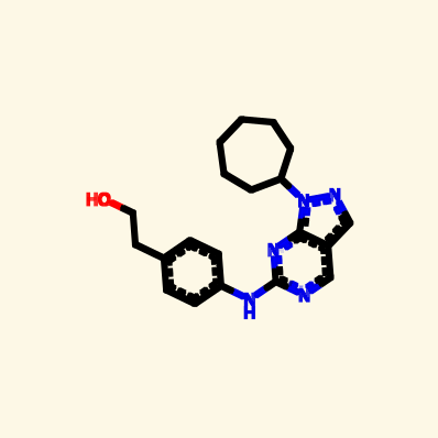 OCCc1ccc(Nc2ncc3cnn(C4CCCCCC4)c3n2)cc1